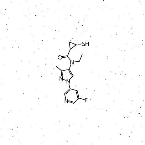 CCN(C(=O)C1C[C@@H]1S)c1cn(-c2cncc(F)c2)nc1C